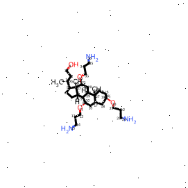 C[C@H](CCO)C1CC[C@H]2C3[C@H](OCCCN)CC4C[C@H](OCCCN)CCC4(C)[C@H]3C[C@H](OCCCN)[C@]12C